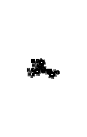 Cc1cccc(N(CC(=O)NCc2cccc(C=O)c2)S(=O)(=O)C2=CC(C)C(C)C=C2)c1C